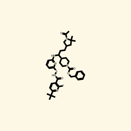 CC(=O)N1CC(CCC(Nc2cccc(SNC(=O)c3ccc(C(C)(C)C)nc3F)n2)C2CCN(C(=O)OCc3ccccc3)CC2)CC1(C)C